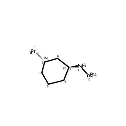 CCCCN[C@H]1CCC[C@H](C(C)C)C1